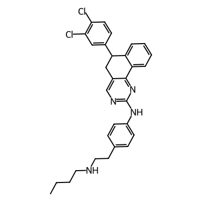 CCCCNCCc1ccc(Nc2ncc3c(n2)-c2ccccc2C(c2ccc(Cl)c(Cl)c2)C3)cc1